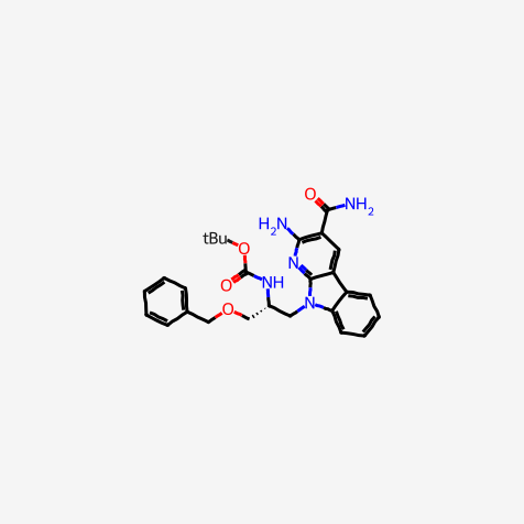 CC(C)(C)OC(=O)N[C@@H](COCc1ccccc1)Cn1c2ccccc2c2cc(C(N)=O)c(N)nc21